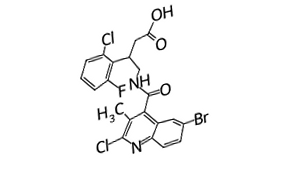 Cc1c(Cl)nc2ccc(Br)cc2c1C(=O)NCC(CC(=O)O)c1c(F)cccc1Cl